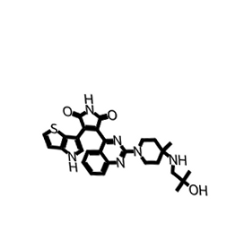 CC(C)(O)CNC1(C)CCN(c2nc(C3=C(c4c[nH]c5ccsc45)C(=O)NC3=O)c3ccccc3n2)CC1